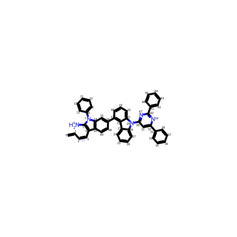 C=C/C=C\c1c(N)n(-c2ccccc2)c2cc(-c3cccc4c3c3ccccc3n4-c3cc(-c4ccccc4)nc(-c4ccccc4)n3)ccc12